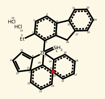 CCc1ccc2c([c]1[Zr](=[SiH2])([C]1=CC=CC1)([c]1ccccc1)[c]1ccccc1)Cc1ccccc1-2.Cl.Cl